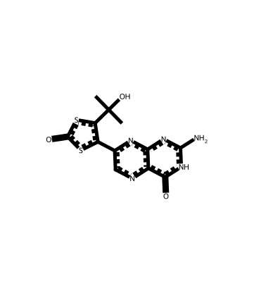 CC(C)(O)c1sc(=O)sc1-c1cnc2c(=O)[nH]c(N)nc2n1